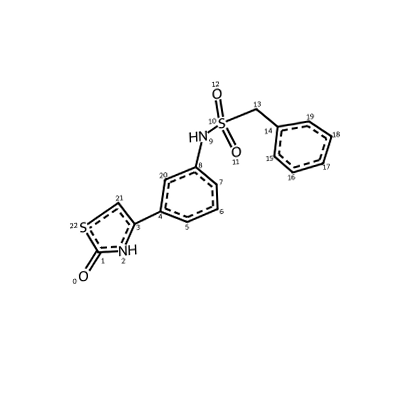 O=c1[nH]c(-c2cccc(NS(=O)(=O)Cc3ccccc3)c2)cs1